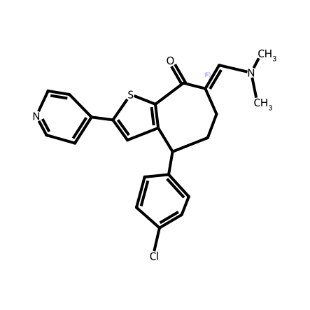 CN(C)/C=C1\CCC(c2ccc(Cl)cc2)c2cc(-c3ccncc3)sc2C1=O